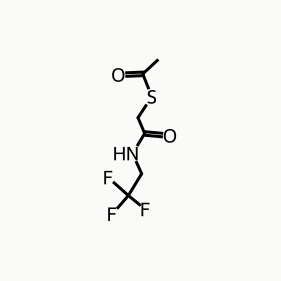 CC(=O)SCC(=O)NCC(F)(F)F